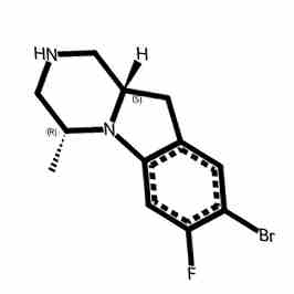 C[C@@H]1CNC[C@@H]2Cc3cc(Br)c(F)cc3N21